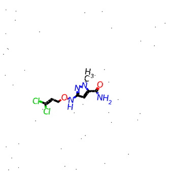 Cn1nc(NOCC=C(Cl)Cl)cc1C(N)=O